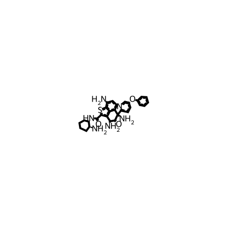 Nc1ccc2c3c(c(C(=O)N[C@@H]4CCCC[C@@H]4N)sc13)C(N)C(=O)C2(N)c1ccc(Oc2ccccc2)cn1